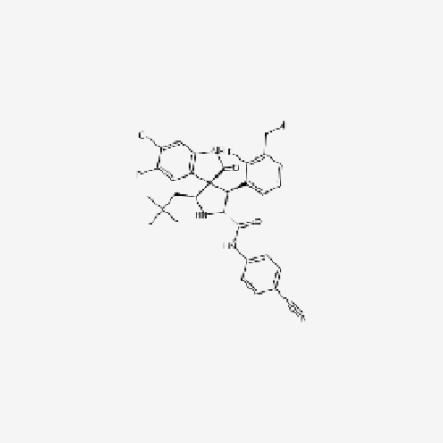 CC(C)(C)C[C@@H]1N[C@@H](C(=O)Nc2ccc(C#N)cc2)[C@H](c2cccc(CI)c2F)[C@]12C(=O)Nc1cc(Cl)c(F)cc12